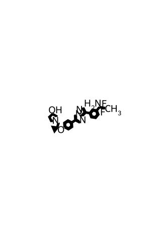 CC(F)(F)C(N)c1cccc(-c2cnn3cc(-c4ccc(OC5(CN6CCC(O)C6)CC5)cc4)cnc23)c1